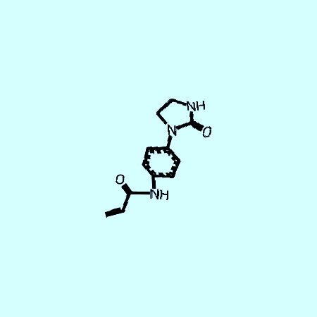 C=CC(=O)Nc1ccc(N2CCNC2=O)cc1